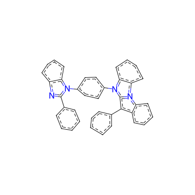 c1ccc(-c2c3ccccc3n3c4ccccc4n(-c4ccc(-n5c(-c6ccccc6)nc6ccccc65)cc4)c23)cc1